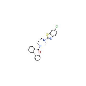 O=C(c1ccccc1-c1ccccc1)N1CCCN(c2nc3ccc(Cl)cc3s2)CC1